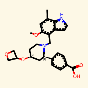 COc1cc(C)c2[nH]ccc2c1CN1CC[C@H](OC2COC2)C[C@@H]1c1ccc(C(=O)O)cc1